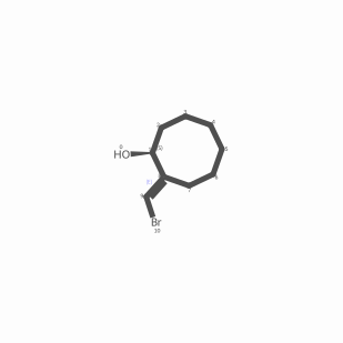 O[C@H]1CCCCCC/C1=C\Br